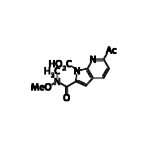 CON(C)C(=O)c1cc2ccc(C(C)=O)nc2n1C(=O)O